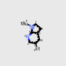 CCc1cnc2c(ccn2C(C)(C)C)c1